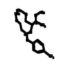 CCCCOCC[C@H](Oc1ccc(C(F)(F)F)cc1)OC(COCCCC)[C@H](C)OCCCC